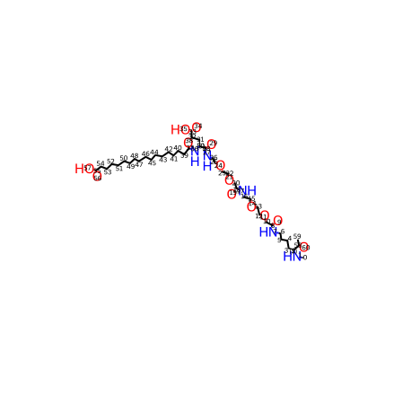 CN[C@@H](CCCCNC(=O)COCCOCCNC(=O)COCCOCCNC(=O)[C@H](CCC(=O)O)NC(=O)CCCCCCCCCCCCCCCCC(=O)O)C(C)=O